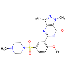 CCCc1nn(C)c2c1N=C(c1cc(S(=O)(=O)N3CCN(C)CC3)ccc1OCC)[N]C2=O